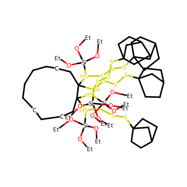 CCO[Si](OCC)(OCC)[SH](SSSC12CCC(CC1)C2)C1([SH](SSSC23CCC(CC2)C3)[Si](OCC)(OCC)OCC)CCCCCCCCCCC1([SH](SSSC12CCC(CC1)C2)[Si](OCC)(OCC)OCC)[SH](SSSC12CCC(CC1)C2)[Si](OCC)(OCC)OCC